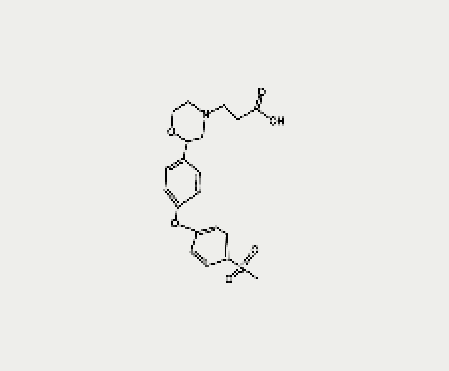 CS(=O)(=O)c1ccc(Oc2ccc(C3CN(CCC(=O)O)CCO3)cc2)cc1